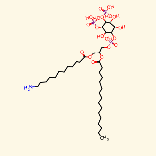 CCCCCCCCCCCCCCCC(=O)O[C@H](COC(=O)CCCCCCCCCCCN)COP(=O)(O)OC1C(O)[C@@H](OP(=O)(O)O)C(OP(=O)(O)O)[C@@H](O)[C@H]1O